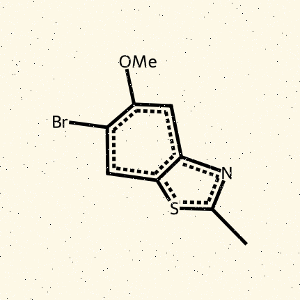 COc1cc2nc(C)sc2cc1Br